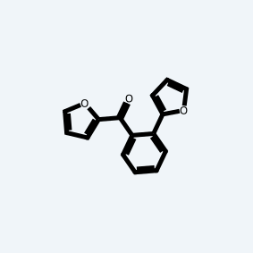 O=C(c1ccco1)c1ccccc1-c1ccco1